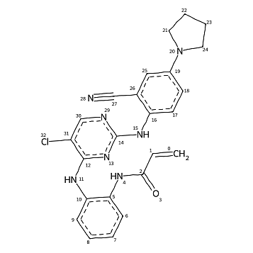 C=CC(=O)Nc1ccccc1Nc1nc(Nc2ccc(N3CCCC3)cc2C#N)ncc1Cl